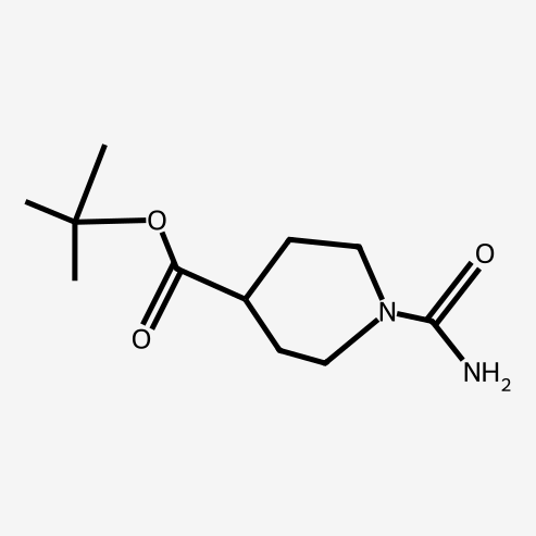 CC(C)(C)OC(=O)C1CCN(C(N)=O)CC1